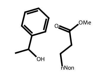 CC(O)c1ccccc1.CCCCCCCCCCCC(=O)OC